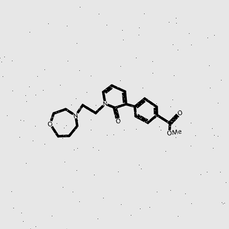 COC(=O)c1ccc(-c2cccn(CCN3CCCOCC3)c2=O)cc1